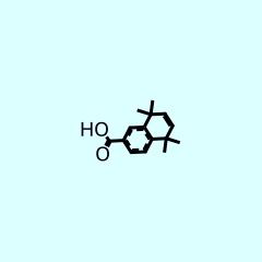 CC1(C)C=CC(C)(C)c2cc(C(=O)O)ccc21